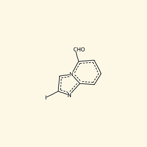 O=Cc1cccc2nc(I)cn12